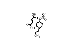 CCCN1CCC(O[N+](=O)[O-])CC1.O=C(O)C=CC(=O)O